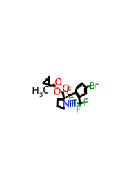 CC1(C(=O)OC(=O)[C@@]2(C(F)(F)c3ccc(Br)cc3C(F)(F)F)CCCN2)CC1